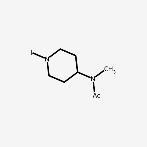 CC(=O)N(C)C1CCN(I)CC1